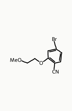 COCCOc1cc(Br)ccc1C#N